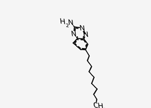 CCCCCCCCCCc1ccc2nc(N)nnc2c1